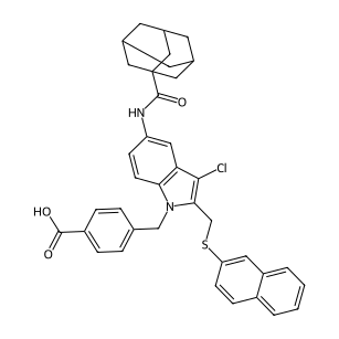 O=C(O)c1ccc(Cn2c(CSc3ccc4ccccc4c3)c(Cl)c3cc(NC(=O)C45CC6CC(CC(C6)C4)C5)ccc32)cc1